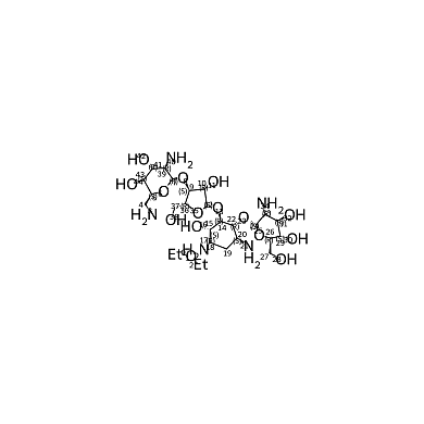 CCOCC.NC[C@@H]1O[C@H](O[C@H]2[C@@H](O)[C@H](O[C@@H]3[C@@H](O)[C@H](N)C[C@H](N)[C@H]3O[C@H]3O[C@H](CO)[C@@H](O)[C@H](O)[C@H]3N)O[C@@H]2CO)[C@H](N)[C@@H](O)[C@@H]1O